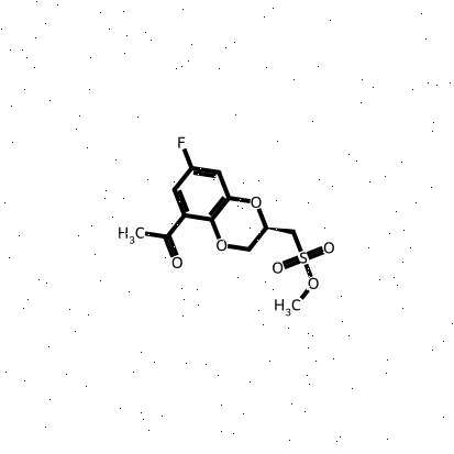 COS(=O)(=O)C[C@H]1COc2c(cc(F)cc2C(C)=O)O1